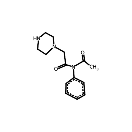 CC(=O)N(C(=O)CN1CCNCC1)c1ccccc1